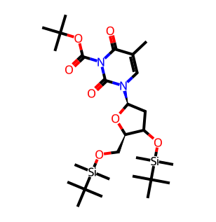 Cc1cn([C@H]2CC(O[Si](C)(C)C(C)(C)C)[C@@H](CO[Si](C)(C)C(C)(C)C)O2)c(=O)n(C(=O)OC(C)(C)C)c1=O